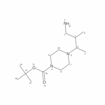 CC(CN)C(C)N1CCN(C(=O)OC(C)(C)C)CC1